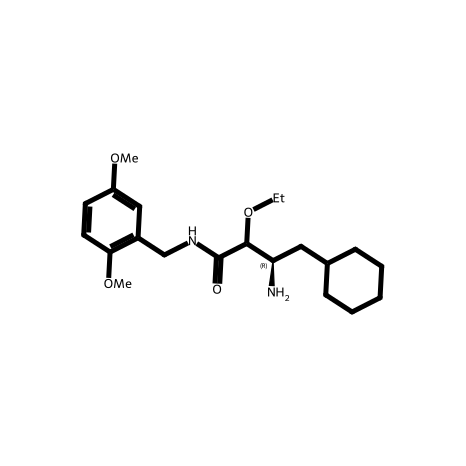 CCOC(C(=O)NCc1cc(OC)ccc1OC)[C@H](N)CC1CCCCC1